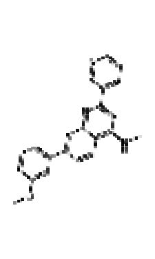 CNc1nc(-c2cccnc2)nc2cc(-c3cccc(OC)c3)ccc12